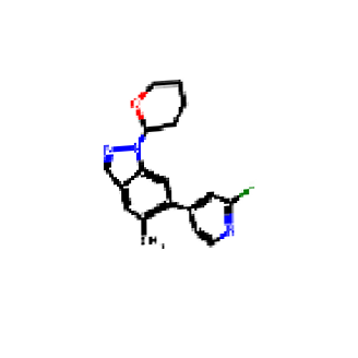 Cc1cc2cnn(C3CCCCO3)c2cc1-c1ccnc(F)c1